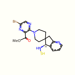 COC(=O)c1nc(Br)cnc1N1CCC2(CC1)Cc1ncccc1[C@H]2NS